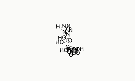 Nc1ncnc2c1ncn2C[C@@H]1O[C@H](COP(=O)(O)OP(=O)(O)OP(=O)(O)O)[C@@H](CO)[C@H]1O